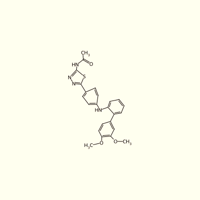 COc1ccc(-c2ccccc2Nc2ccc(-c3nnc(NC(C)=O)s3)cc2)cc1OC